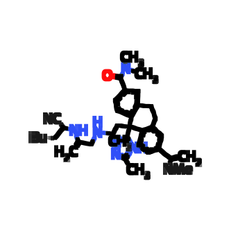 C=C(CN[C@@H](C)CC1(c2nnc(C)[nH]2)c2ccc(C(=C)NC)cc2CCc2cc(C(=O)N(C)C)ccc21)NC(C#N)C[C@@H](C)CC